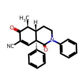 C[C@@H]1C(=O)C(C#N)=C[C@]2(c3ccccc3)C(=O)N(c3ccccc3)CC[C@@H]12